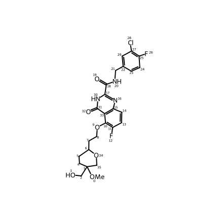 COC1(CO)CCC(CCOc2c(F)ccc3nc(C(=O)NCc4ccc(F)c(Cl)c4)[nH]c(=O)c23)OC1